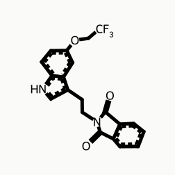 O=C1c2ccccc2C(=O)N1CCc1c[nH]c2ccc(OCC(F)(F)F)cc12